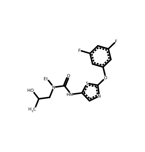 CCN(CC(C)O)C(=O)Nc1cnc(Oc2cc(F)cc(F)c2)s1